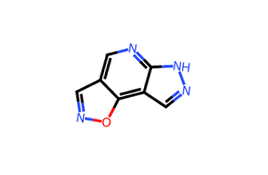 c1noc2c1cnc1[nH]ncc12